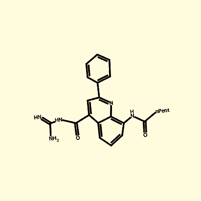 CCCCCC(=O)Nc1cccc2c(C(=O)NC(=N)N)cc(-c3ccccc3)nc12